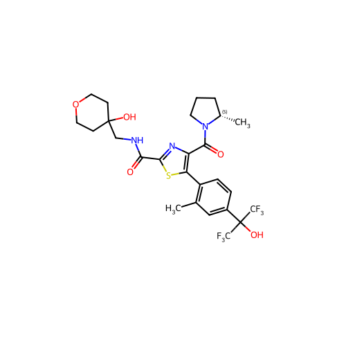 Cc1cc(C(O)(C(F)(F)F)C(F)(F)F)ccc1-c1sc(C(=O)NCC2(O)CCOCC2)nc1C(=O)N1CCC[C@@H]1C